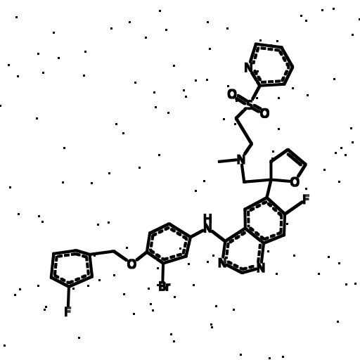 CN(CCS(=O)(=O)c1ccccn1)CC1(c2cc3c(Nc4ccc(OCc5cccc(F)c5)c(Br)c4)ncnc3cc2F)CC=CO1